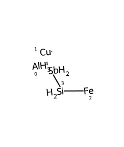 [AlH3].[Cu].[Fe][SiH2][SbH2]